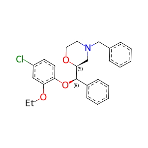 CCOc1cc(Cl)ccc1O[C@H](c1ccccc1)[C@@H]1CN(Cc2ccccc2)CCO1